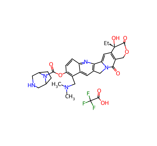 CC[C@@]1(O)C(=O)OCc2c1cc1n(c2=O)Cc2cc3c(CN(C)C)c(OC(=O)N4C5CCC4CNC5)ccc3nc2-1.O=C(O)C(F)(F)F